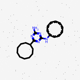 Nc1nc(Nc2ccccccccc2)nc(C2CCCCCCCCC2)n1